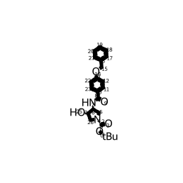 CC(C)(C)OC(=O)N1C[C@H](NC(=O)c2ccc(OCc3ccccc3)cc2)[C@@H](O)C1